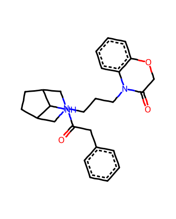 O=C(Cc1ccccc1)NC1C2CCC1CN(CCCN1C(=O)COc3ccccc31)C2